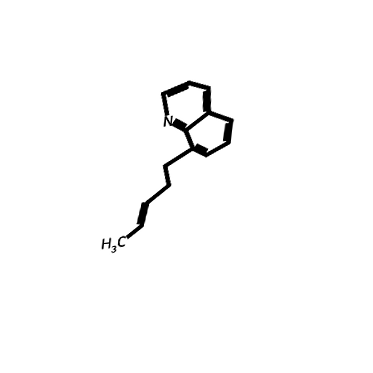 C/C=C/CCc1cccc2cccnc12